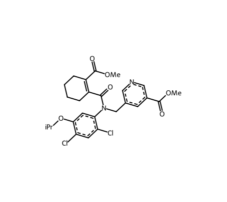 COC(=O)C1=C(C(=O)N(Cc2cncc(C(=O)OC)c2)c2cc(OC(C)C)c(Cl)cc2Cl)CCCC1